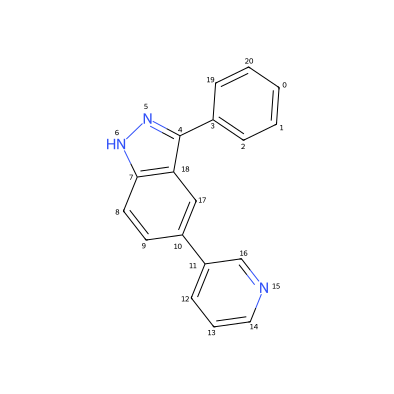 c1ccc(-c2n[nH]c3ccc(-c4cccnc4)cc23)cc1